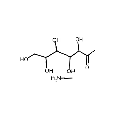 CC(=O)C(O)C(O)C(O)C(O)CO.CN